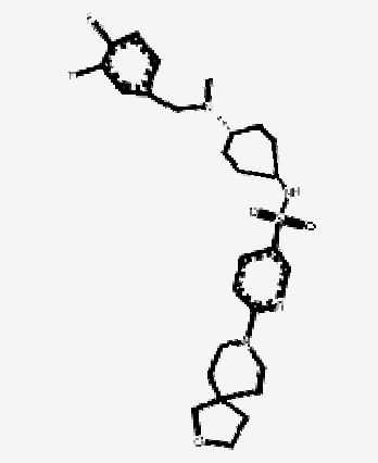 CN(Cc1ccc(F)c(F)c1)[C@H]1CC[C@H](NS(=O)(=O)c2ccc(N3CCC4(CCOC4)CC3)nc2)CC1